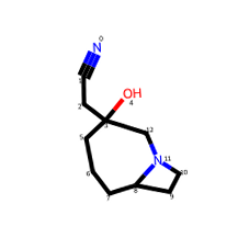 N#CCC1(O)CCCC2CCN2C1